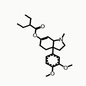 CCC(CC)C(=O)OC1=CC2N(C)CCC2(c2ccc(OC)c(OC)c2)CC1